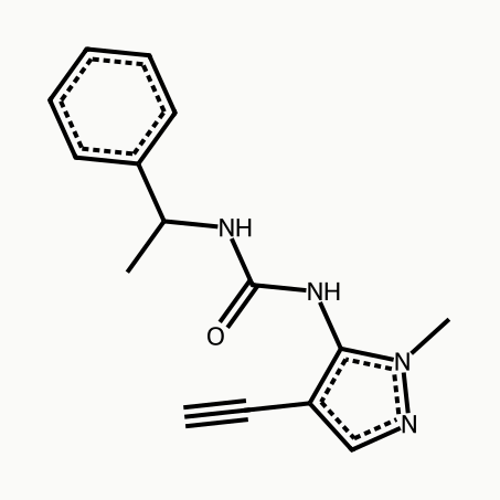 C#Cc1cnn(C)c1NC(=O)NC(C)c1ccccc1